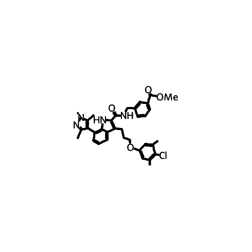 COC(=O)c1cccc(CNC(=O)c2[nH]c3c(-c4c(C)nn(C)c4C)cccc3c2CCCOc2cc(C)c(Cl)c(C)c2)c1